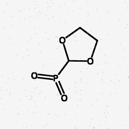 O=P(=O)C1OCCO1